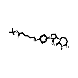 CC(C)(C)OC(=O)CCCCCNc1ccc(N2CCC(N3CCCC(=O)NC3=O)C2=O)cc1